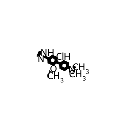 CCOc1cc(-c2ncc[nH]2)ccc1-c1ccc(N(C)C)cc1.Cl